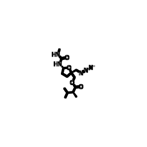 CNC(=O)N[C@H]1CC[C@@](CN=[N+]=[N-])(COC(=O)[C@@H](C)C(C)C)O1